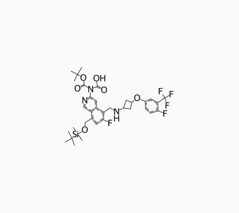 CC(C)(C)OC(=O)N(C(=O)O)c1cc2c(CNC3CC(Oc4ccc(F)c(C(F)(F)F)c4)C3)c(F)cc(CO[Si](C)(C)C(C)(C)C)c2cn1